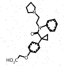 O=C(O)COc1ccc(C2(C(=O)N(CCN3CCCC3)c3ccccc3)CC2)cc1